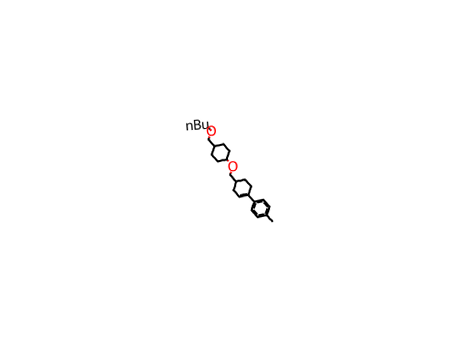 [CH2+][CH-]CCOCC1CCC(OCC2CC=C(c3ccc(C)cc3)CC2)CC1